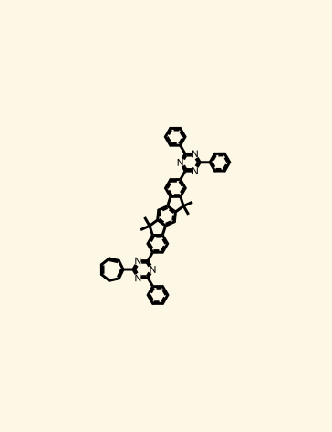 CC1(C)c2cc(-c3nc(C4=CCC=CC=C4)nc(-c4ccccc4)n3)ccc2-c2cc3c(cc21)-c1ccc(-c2nc(-c4ccccc4)nc(-c4ccccc4)n2)cc1C3(C)C